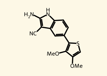 COc1csc(-c2ccc3[nH]c(N)c(C#N)c3c2)c1OC